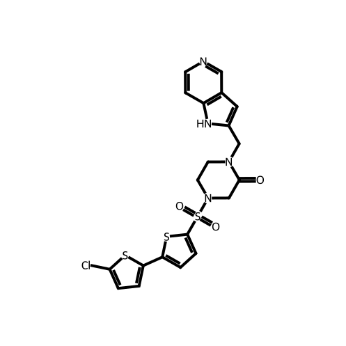 O=C1CN(S(=O)(=O)c2ccc(-c3ccc(Cl)s3)s2)CCN1Cc1cc2cnccc2[nH]1